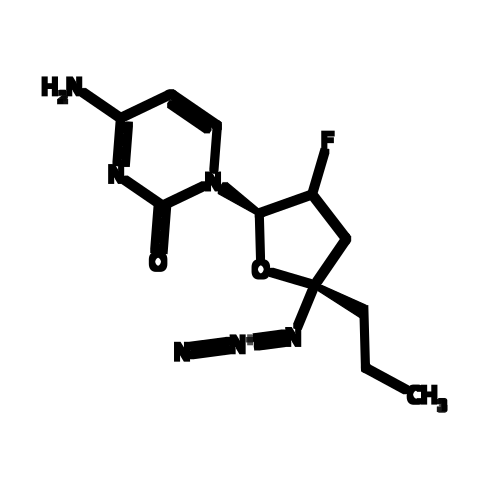 CCC[C@]1(N=[N+]=[N-])CC(F)[C@H](n2ccc(N)nc2=O)O1